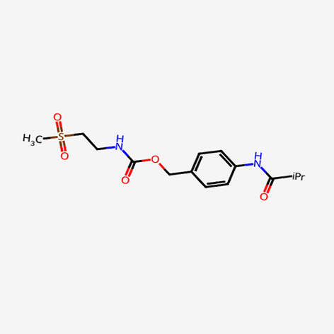 CC(C)C(=O)Nc1ccc(COC(=O)NCCS(C)(=O)=O)cc1